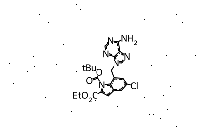 CCOC(=O)c1cc2cc(Cl)cc(Cn3cnc4c(N)ncnc43)c2n1C(=O)OC(C)(C)C